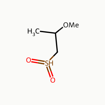 COC(C)C[SH](=O)=O